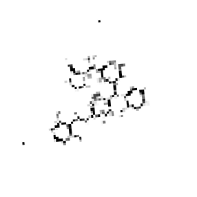 Cc1cccc(C)c1OCC(=O)N[C@@H](Cc1ccccc1)[C@@H](O)CC(CC(C)C)NC(=O)C(C(C)C)N1CCCC1=O